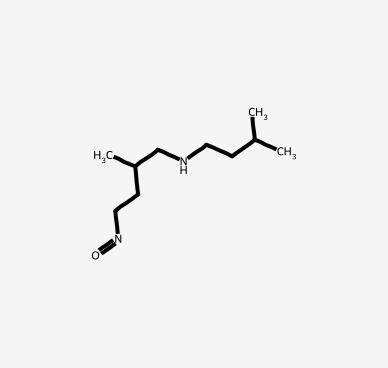 CC(C)CCNCC(C)CCN=O